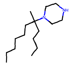 CCCCCCC(C)(CCCC)N1CCNCC1